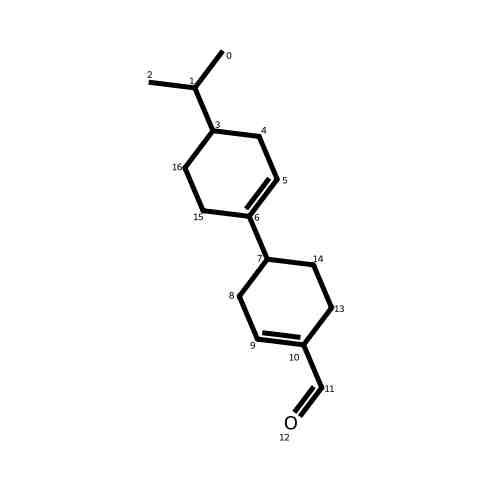 CC(C)C1CC=C(C2CC=C(C=O)CC2)CC1